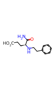 NC(=O)[C@H](CCC(=O)O)NCCc1ccccc1